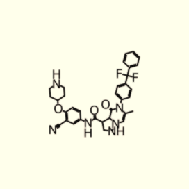 CC1=CN2NCC(C(=O)Nc3ccc(OC4CCNCC4)c(C#N)c3)C2C(=O)N1c1ccc(C(F)(F)c2ccccc2)cc1